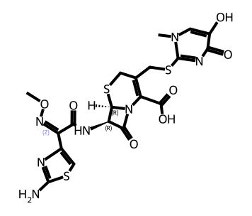 CO/N=C(\C(=O)N[C@@H]1C(=O)N2C(C(=O)O)=C(CSc3nc(=O)c(O)cn3C)CS[C@H]12)c1csc(N)n1